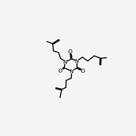 C=C(C)CCCn1c(=O)n(CCCC(=C)C)c(=O)n(CCCC(=C)C)c1=O